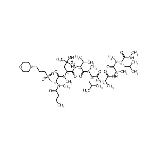 CCCC(=O)N(C)[C@H](CS(=O)(=O)CCCN1CCOCC1)C(=O)N(C)[C@@H](CC(C)(C)O)C(=O)N[C@H](C(=O)N(C)[C@@H](CC(C)C)C(=O)N[C@H](C)C(=O)N[C@@H](C)C(=O)N(C)[C@@H](CC(C)C)C(=O)NC)C(C)C